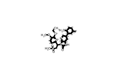 CCOc1nc(C(CS(C)(=O)=O)n2c(=O)[nH]c3cc(-c4cc(F)ccc4C)cnc32)ccc1OC